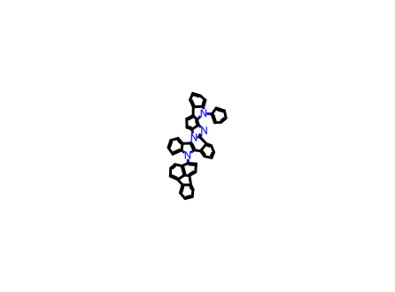 c1ccc(-n2c3ccccc3c3ccc4c(nc5c6ccccc6c6c(c7ccccc7n6-c6ccc7c8c(cccc68)-c6ccccc6-7)n45)c32)cc1